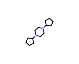 C1CCC(N2CCN(C3CCCC3)CC2)C1